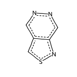 c1nncc2nscc12